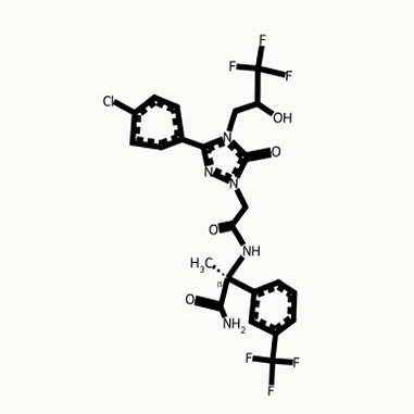 C[C@@](NC(=O)Cn1nc(-c2ccc(Cl)cc2)n(CC(O)C(F)(F)F)c1=O)(C(N)=O)c1cccc(C(F)(F)F)c1